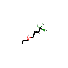 CC[CH]OC/C=C/C(F)(F)F